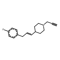 C#CCN1CCC(/C=C/Cc2ccc(F)cc2)CC1